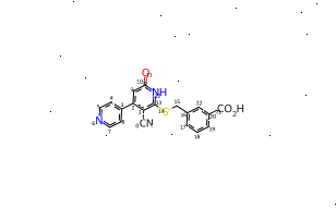 N#Cc1c(-c2ccncc2)cc(=O)[nH]c1SCc1cccc(C(=O)O)c1